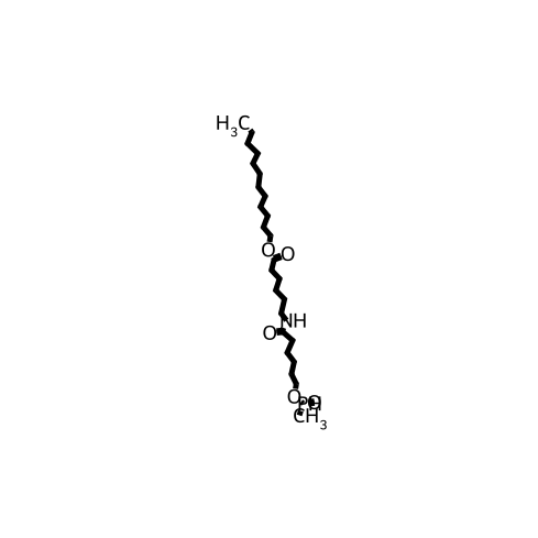 CCCCCCCCCCCCOC(=O)CCCCCNC(=O)CCCCCO[PH](C)=O